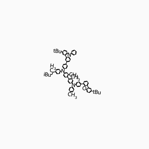 CCC(C)CC(C)c1ccc(N(c2ccc(-c3ccc4c(c3)c3cc(C(C)(C)C)ccc3n4-c3ccccc3)cc2)c2ccc(-c3ccc(N(c4ccc(C)cc4)c4ccc(-c5cccc6c5oc5ccc(C(C)(C)C)cc56)cc4)cc3C)c(C)c2)cc1